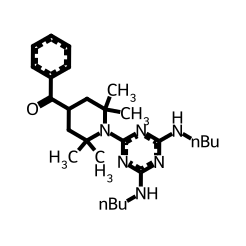 CCCCNc1nc(NCCCC)nc(N2C(C)(C)CC(C(=O)c3ccccc3)CC2(C)C)n1